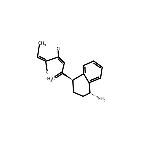 C=C(/C=C(Cl)\C(Cl)=C/C)[C@@H]1CC[C@@H](N)c2ccccc21